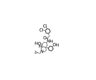 O=C(Cc1ccc(Cl)c(Cl)c1)N[C@@H]1CC(O)[C@@H]2CN(CC3CC3)CC[C@@]2(c2cccc(O)c2)C1